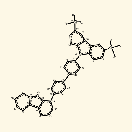 C[Si](C)(C)c1ccc2c(c1)c1cc([Si](C)(C)C)ccc1n2-c1ccc(-c2ccc(-c3cccc4c3oc3ccccc34)cc2)cc1